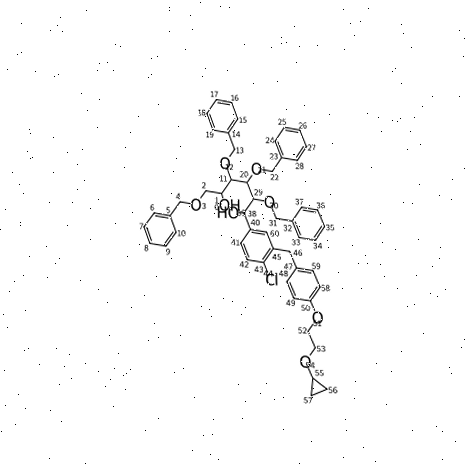 OC(COCc1ccccc1)C(OCc1ccccc1)C(OCc1ccccc1)C(OCc1ccccc1)C(O)c1ccc(Cl)c(Cc2ccc(OCCOC3CC3)cc2)c1